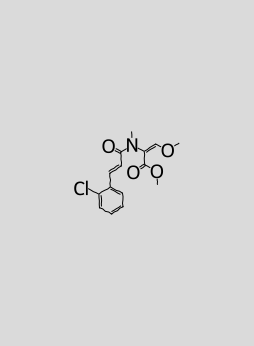 COC=C(C(=O)OC)N(C)C(=O)C=Cc1ccccc1Cl